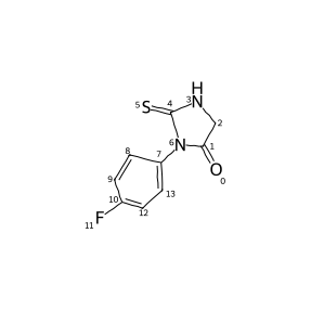 O=C1CNC(=S)N1c1ccc(F)cc1